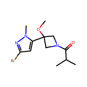 COC1(c2cc(Br)nn2C)CN(C(=O)C(C)C)C1